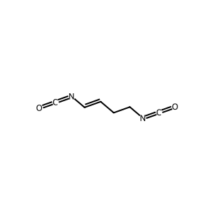 O=C=NC=CCCN=C=O